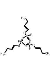 CCC=COP1(F)=NP(F)(OC=CCC)=NP(F)(OC=CCC)=N1